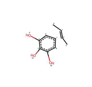 CC=CC.Oc1cccc(O)c1O